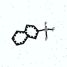 F[B-](F)(F)c1ccc2ccccc2c1